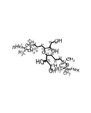 CCCCCC[Si](C)(C)O[Si](C)(C)CCCC(OC(CCC[Si](C)(C)O[Si](C)(C)CCCCCC)C(O)CO)C(O)CO